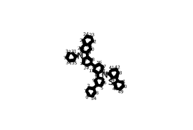 c1ccc(-c2ccc3c(c2)c2cc(-c4ccc5c(c4)c4cc6ccccc6cc4n5-c4ccccc4)ccc2n3-c2cccc3c2sc2ccccc23)cc1